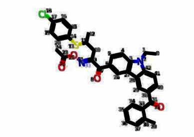 CCn1c2ccc(C(=O)/C(CC(C)Sc3ccc(Cl)cc3)=N/OC(C)=O)cc2c2cc(C(=O)c3ccccc3C)ccc21